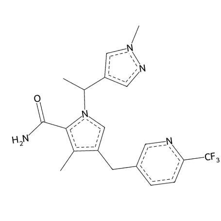 Cc1c(Cc2ccc(C(F)(F)F)nc2)cn(C(C)c2cnn(C)c2)c1C(N)=O